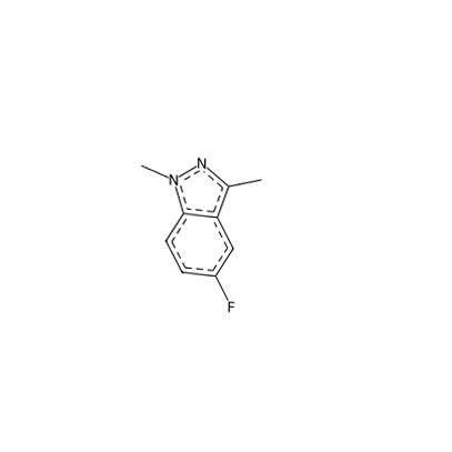 Cc1nn(C)c2ccc(F)cc12